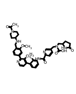 COc1cc(-c2nccc(-c3cccc(NC(=O)c4ccc(CN(CC5CCC(=O)N5)C(=O)O)cn4)c3C)c2Cl)ccc1CNC1CCN(C(C)=O)CC1